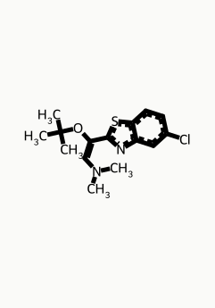 CN(C)/C=C(/OC(C)(C)C)c1nc2cc(Cl)ccc2s1